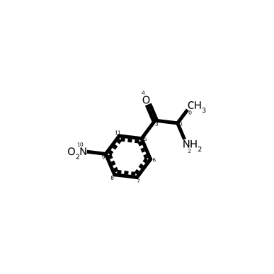 CC(N)C(=O)c1cccc([N+](=O)[O-])c1